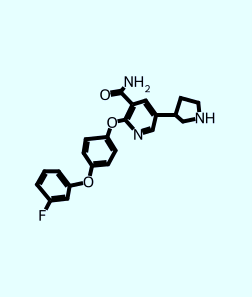 NC(=O)c1cc(C2CCNC2)cnc1Oc1ccc(Oc2cccc(F)c2)cc1